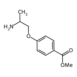 COC(=O)c1ccc(OCC(C)N)cc1